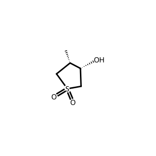 C[C@H]1CS(=O)(=O)C[C@H]1O